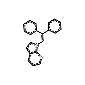 C(=C(c1ccccc1)c1ccccc1)n1ccc2cccnc21